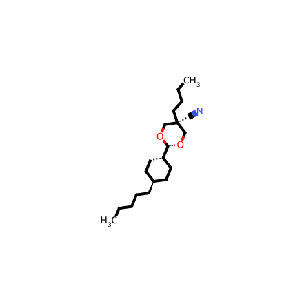 CCCCC[C@H]1CC[C@H]([C@H]2OC[C@](C#N)(CCCC)CO2)CC1